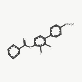 CCCCCCCc1ccc(-c2ccc(OC(=O)c3ccccc3)c(F)c2F)cc1